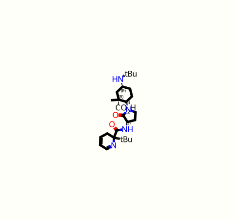 CC(C)(C)N[C@@H]1CC[C@H](N2CC[C@H](NC(=O)C3(C(C)(C)C)CC=CC=N3)C2=O)[C@](C)(C(=O)O)C1